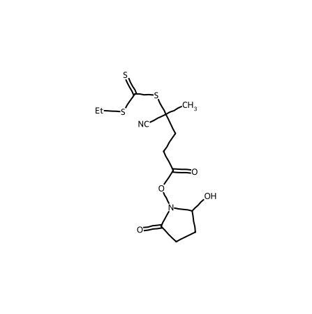 CCSC(=S)SC(C)(C#N)CCC(=O)ON1C(=O)CCC1O